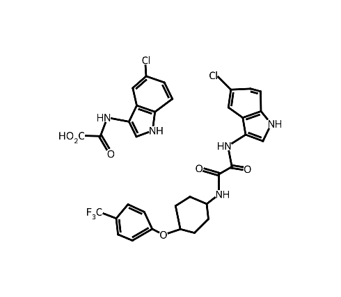 O=C(Nc1c[nH]c2ccc(Cl)cc12)C(=O)NC1CCC(Oc2ccc(C(F)(F)F)cc2)CC1.O=C(O)C(=O)Nc1c[nH]c2ccc(Cl)cc12